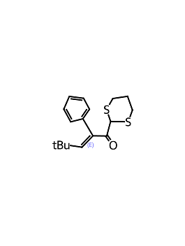 CC(C)(C)/C=C(/C(=O)C1SCCCS1)c1ccccc1